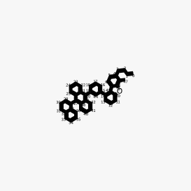 C=C/C=C\c1ccc2c(oc3cccc(-c4cccc(-c5c6ccccc6c(-c6cccc7ccccc67)c6ccccc56)c4)c32)c1C